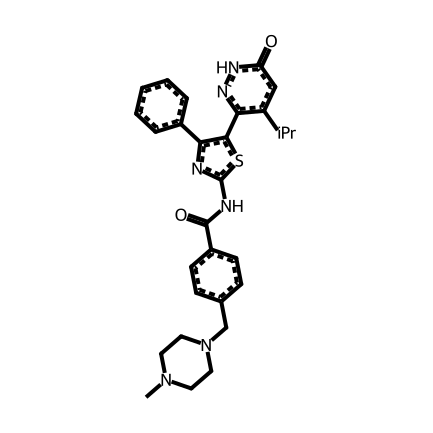 CC(C)c1cc(=O)[nH]nc1-c1sc(NC(=O)c2ccc(CN3CCN(C)CC3)cc2)nc1-c1ccccc1